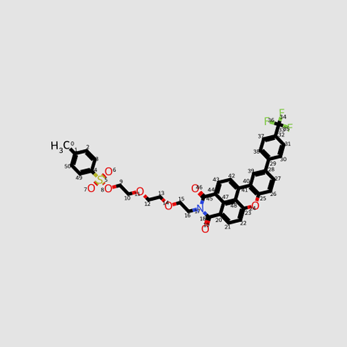 Cc1ccc(S(=O)(=O)OCCOCCOCCn2c(=O)c3ccc4oc5ccc(-c6ccc(C(F)(F)F)cc6)cc5c5ccc(c2=O)c3c45)cc1